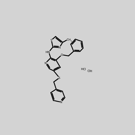 Cc1csc(Nc2ncc(SCc3ccncc3)cc2OCc2ccccc2)n1.Cl.Cl